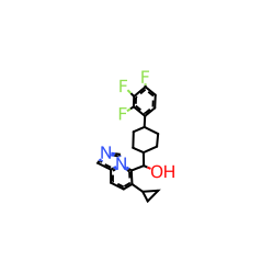 OC(c1c(C2CC2)ccc2cncn12)C1CCC(c2ccc(F)c(F)c2F)CC1